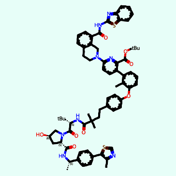 Cc1ncsc1-c1ccc([C@H](C)NC(=O)[C@@H]2C[C@@H](O)CN2C(=O)[C@@H](NC(=O)C(C)(C)CCc2ccc(Oc3cccc(-c4ccc(N5CCc6cccc(C(=O)Nc7nc8ccccc8s7)c6C5)nc4C(=O)OC(C)(C)C)c3C)cc2)C(C)(C)C)cc1